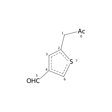 CC(=O)Cc1cc(C=O)cs1